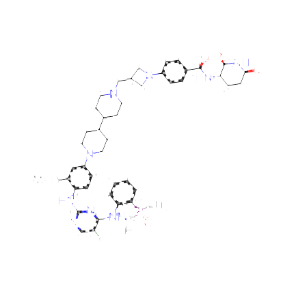 COc1cc(N2CCC(C3CCN(CC4CN(c5ccc(C(=O)NC6CCC(=O)NC6=O)cc5)C4)CC3)CC2)ccc1Nc1ncc(Cl)c(Nc2ccccc2P(C)(C)=O)n1